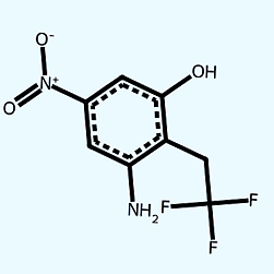 Nc1cc([N+](=O)[O-])cc(O)c1CC(F)(F)F